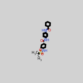 CC(C)S(=O)(=O)N[C@H]1CC[C@H](C(=O)Nc2ccc(NC(=O)C3CCCCC3)cc2)CC1